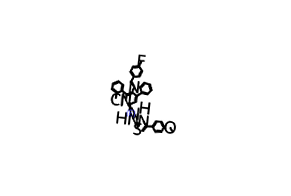 COc1ccc(C2=CSC(N/N=C/c3cc4c5ccccc5n(Cc5ccc(F)cc5)c4c(-c4ccccc4Cl)n3)N2)cc1